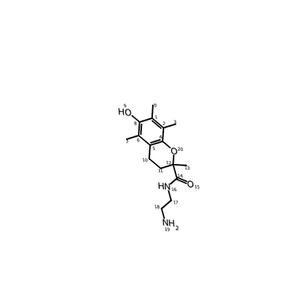 Cc1c(C)c2c(c(C)c1O)CCC(C)(C(=O)NCCN)O2